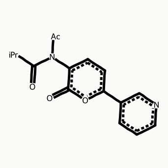 CC(=O)N(C(=O)C(C)C)c1ccc(-c2cccnc2)oc1=O